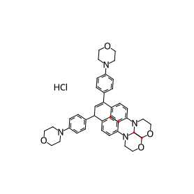 C(=C(c1ccc(N2CCOCC2)cc1)c1ccc(N2CCOCC2)cc1)C(c1ccc(N2CCOCC2)cc1)c1ccc(N2CCOCC2)cc1.Cl